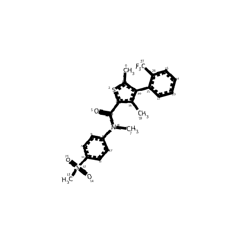 Cc1sc(C(=O)N(C)c2ccc(S(C)(=O)=O)cc2)c(C)c1-c1ccccc1C(F)(F)F